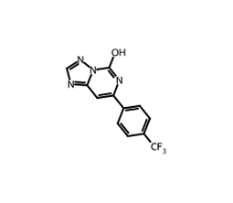 Oc1nc(-c2ccc(C(F)(F)F)cc2)cc2ncnn12